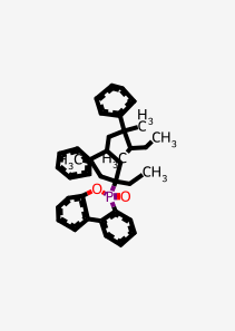 CCCC(CC)(CC(CC(C)(c1ccccc1)C(C)CC)c1ccccc1)P1(=O)Oc2ccccc2-c2ccccc21